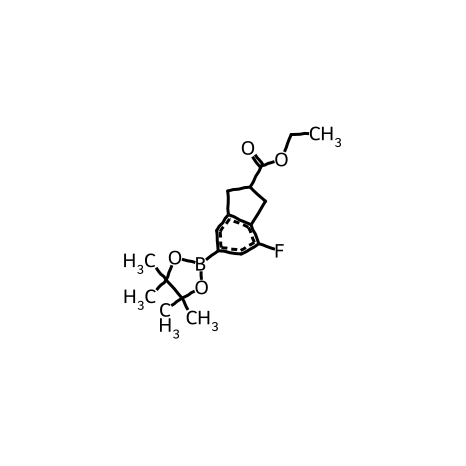 CCOC(=O)C1Cc2cc(B3OC(C)(C)C(C)(C)O3)cc(F)c2C1